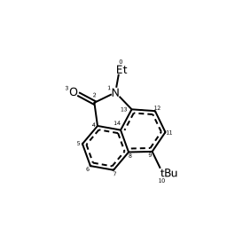 CCN1C(=O)c2cccc3c(C(C)(C)C)ccc1c23